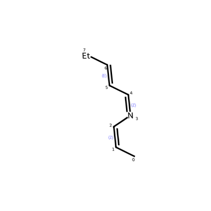 C\C=C/N=C\C=C\CC